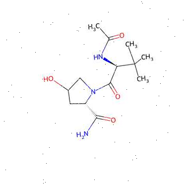 CC(=O)N[C@H](C(=O)N1CC(O)C[C@H]1C(N)=O)C(C)(C)C